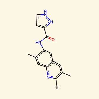 CCc1nc2cc(C)c(NC(=O)c3cc[nH]n3)cc2cc1C